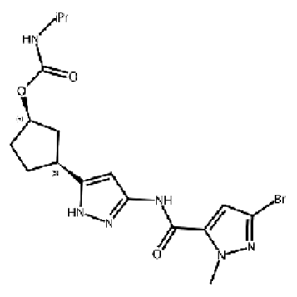 CC(C)NC(=O)O[C@@H]1CC[C@H](c2cc(NC(=O)c3cc(Br)nn3C)n[nH]2)C1